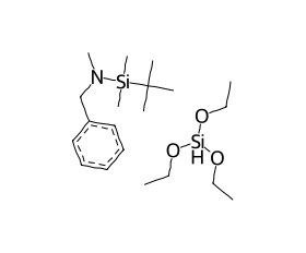 CCO[SiH](OCC)OCC.CN(Cc1ccccc1)[Si](C)(C)C(C)(C)C